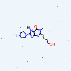 CCn1c(N2CCNCC2)nc2nc(SCCCO)n(C)c(=O)c21